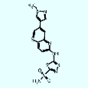 Cn1cc(-c2cnc3ccc(Nc4nnc(S(N)(=O)=O)s4)nc3c2)cn1